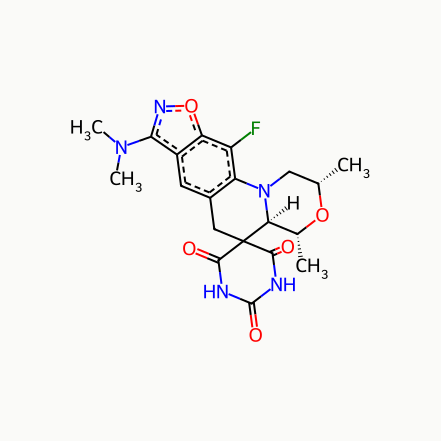 C[C@H]1CN2c3c(cc4c(N(C)C)noc4c3F)CC3(C(=O)NC(=O)NC3=O)[C@@H]2[C@@H](C)O1